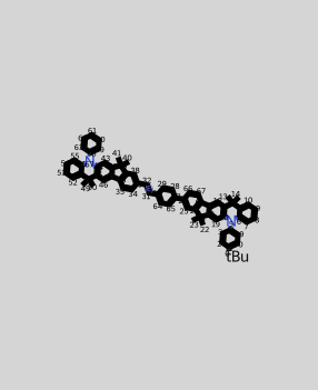 CC(C)(C)c1ccc(N2c3ccccc3C(C)(C)c3cc4c(cc32)C(C)(C)c2cc(-c3ccc(/C=C/c5ccc6c(c5)C(C)(C)c5cc7c(cc5-6)C(C)(C)c5ccccc5N7c5ccccc5)cc3)ccc2-4)cc1